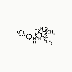 CS(=O)(=O)c1n[nH]c2nc(Nc3ccc(N4CCOCC4)cc3)nc(NCC(F)(F)F)c12